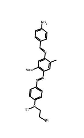 CCN(CCC(C)C)c1ccc(/N=N/c2cc(C)c(/N=N/c3ccc([N+](=O)[O-])cc3)cc2OC)cc1